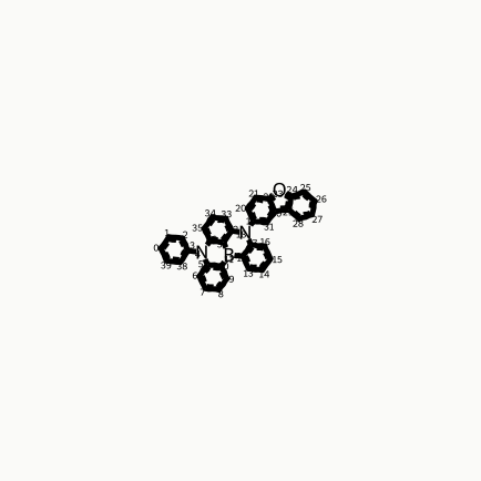 c1ccc(N2c3ccccc3B3c4ccccc4N(c4ccc5oc6ccccc6c5c4)c4cccc2c43)cc1